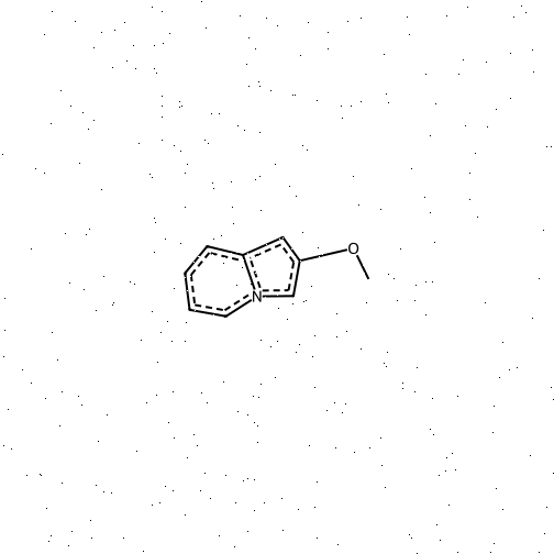 COc1cc2ccccn2c1